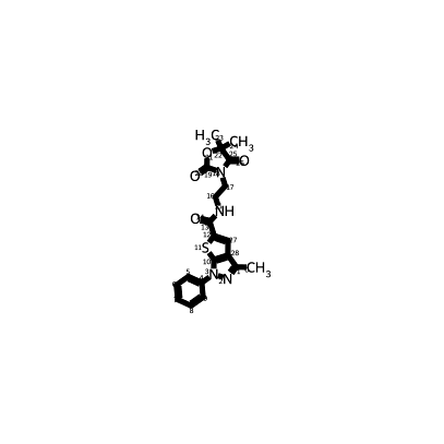 Cc1nn(-c2ccccc2)c2sc(C(=O)NCCN3C(=O)OC(C)(C)C3=O)cc12